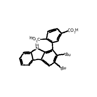 CC(C)(C)c1cc2c([nH]c3ccccc32)c(-c2cc(C(=O)O)ccc2C(=O)O)c1C(C)(C)C